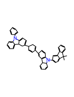 CC1(C)c2ccccc2-c2cc(N3c4ccc(C5=CCC(C6=CC=C7C(C6)c6ccccc6N7c6ccccc6)C=C5)cc4C4C=CC=CC43)ccc21